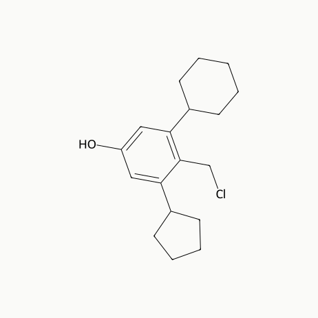 Oc1cc(C2CCCCC2)c(CCl)c(C2CCCC2)c1